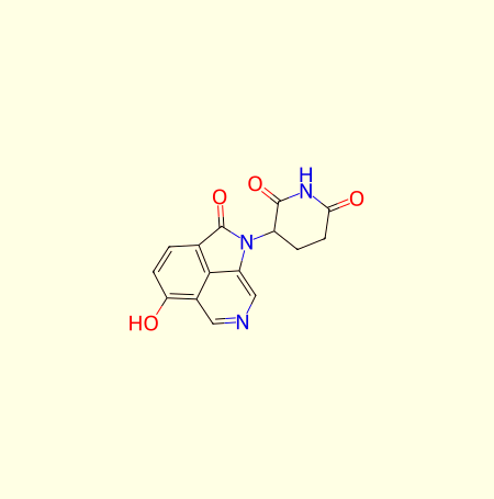 O=C1CCC(N2C(=O)c3ccc(O)c4cncc2c34)C(=O)N1